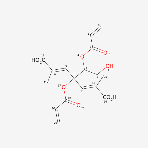 C=CC(=O)OC(CO)C(C=C(C)C(=O)O)(C=C(C)C(=O)O)OC(=O)C=C